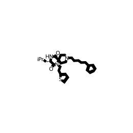 CC(C)C[C@@H]1NC(=O)C2(CCN(CCCCCc3ccccc3)CC2)N(CCc2cccs2)C1=O